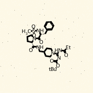 CCC(=O)N/C(=N/C(=O)OC(C)(C)C)N1CCC(CNC(=O)[C@@H]2CCCN2C(=O)[C@@H](Cc2ccccc2)NS(C)(=O)=O)CC1